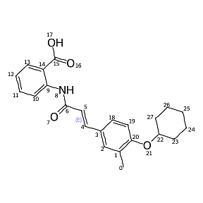 Cc1cc(/C=C/C(=O)Nc2ccccc2C(=O)O)ccc1OC1CCCCC1